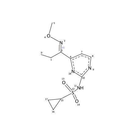 CC/C(=N\OC)c1ccnc(NS(=O)(=O)C2CC2)n1